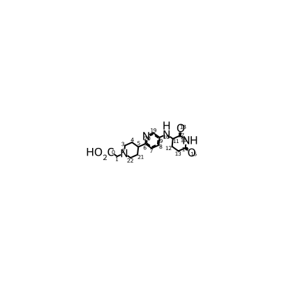 O=C(O)CN1CCC(c2ccc(NC3CCC(=O)NC3=O)cn2)CC1